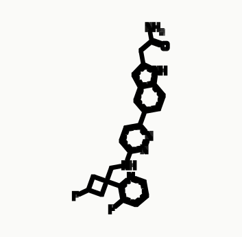 NC(=O)Cc1cc2cc(-c3ccc(NCC4(c5ncccc5F)CC(F)C4)nn3)ccc2[nH]1